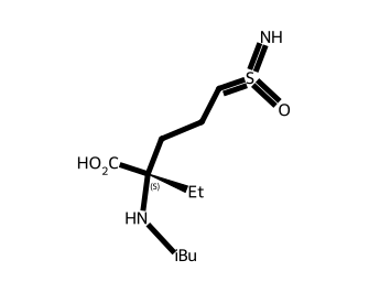 CCC(C)N[C@@](CC)(CCC=S(=N)=O)C(=O)O